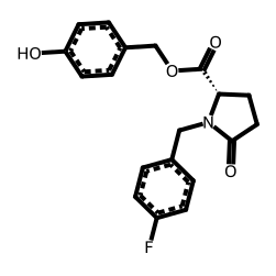 O=C(OCc1ccc(O)cc1)[C@@H]1CCC(=O)N1Cc1ccc(F)cc1